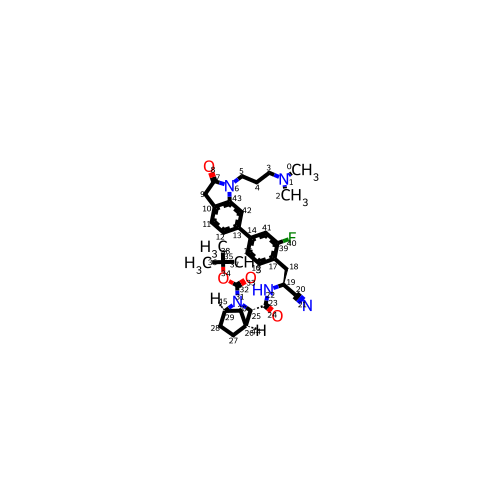 CN(C)CCCN1C(=O)Cc2ccc(-c3ccc(C[C@@H](C#N)NC(=O)[C@@H]4[C@H]5CC[C@H](C5)N4C(=O)OC(C)(C)C)c(F)c3)cc21